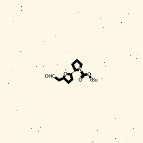 CC(C)(C)OC(=O)N1CCC[C@H]1C1CCC(CC=O)O1